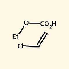 C=CCl.CCOC(=O)O